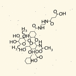 CCC1C[C@H](C(=O)NCCNC(=O)CCC(=O)O)C[C@@H](O[C@@H]2OC(CO)[C@H](O)C(O[C@@H](CC3CCCCC3)C(=O)O)C2NC(C)=O)C1O[C@@H]1OC(C)[C@@H](O)C(O)C1O